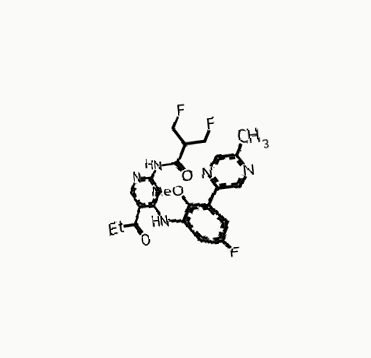 CCC(=O)c1cnc(NC(=O)C(CF)CF)cc1Nc1cc(F)cc(-c2cnc(C)cn2)c1OC